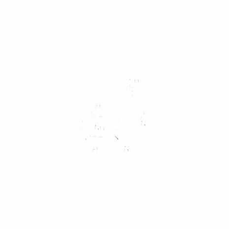 C#Cc1cncc([C@]2(C#N)C[C@H]3CC[C@@H](C2)N3)c1